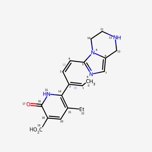 C/C=C(\C=C/c1ncc2n1CCNC2)c1[nH]c(=O)c(C(=O)O)cc1CC